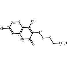 O=C(O)CCCSc1c(O)c2ccc(Cl)cc2[nH]c1=O